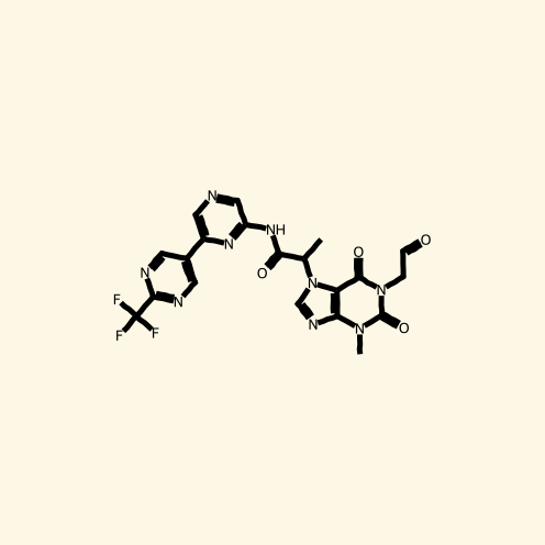 CC(C(=O)Nc1cncc(-c2cnc(C(F)(F)F)nc2)n1)n1cnc2c1c(=O)n(CC=O)c(=O)n2C